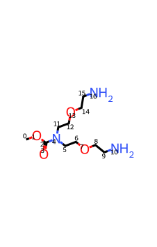 COC(=O)N(CCOCCN)CCOCCN